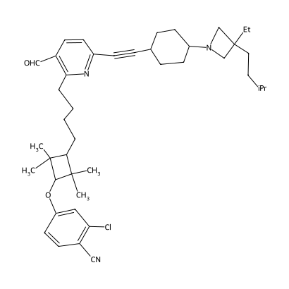 CCC1(CCC(C)C)CN(C2CCC(C#Cc3ccc(C=O)c(CCCCC4C(C)(C)C(Oc5ccc(C#N)c(Cl)c5)C4(C)C)n3)CC2)C1